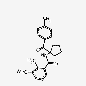 COc1cccc(C(=O)NC2(C(=O)c3ccc(C)cc3)CCCC2)c1C